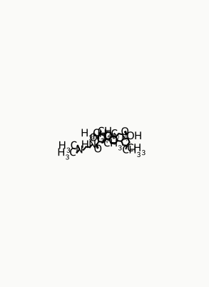 CCN(CC)CCCNC(=O)C1C[C@@]2(C)C(CC[C@]3(C)C2CCC2C4CC(C)(C)CC[C@]4(C(=O)O)CC[C@]23C)C(C)(C)C1=O